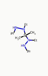 CCN(NC(C)C)[Si](C)(C)N(CC)NC(C)C